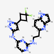 FC1(F)CC(c2cc(Nc3ccnc(NCCc4ccc5[nH]ccc5n4)n3)n[nH]2)C1